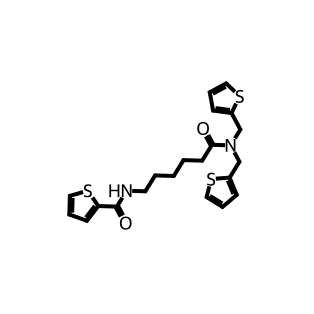 O=C(NCCCCCC(=O)N(Cc1cccs1)Cc1cccs1)c1cccs1